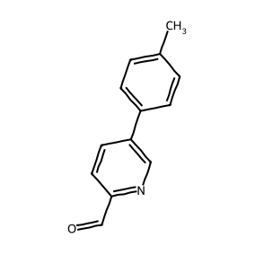 Cc1ccc(-c2ccc(C=O)nc2)cc1